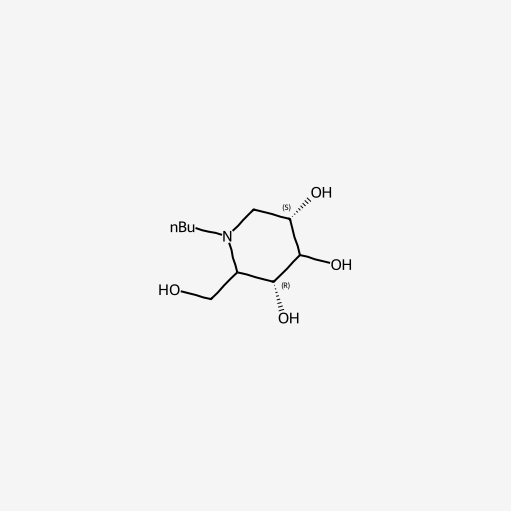 CCCCN1C[C@H](O)C(O)[C@H](O)C1CO